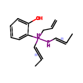 C=CC[PH](/C=C/C)(P/C=C/C)c1ccccc1O